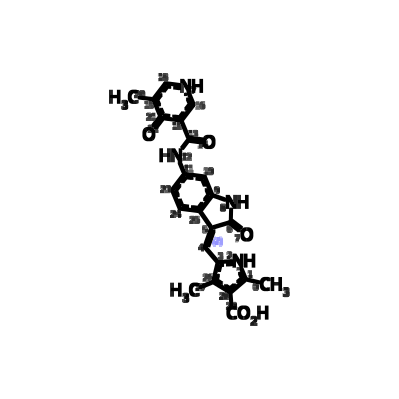 Cc1[nH]c(/C=C2\C(=O)Nc3cc(NC(=O)c4c[nH]cc(C)c4=O)ccc32)c(C)c1C(=O)O